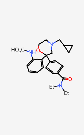 CCN(CC)C(=O)c1ccc(C2(c3ccccc3NC(=O)O)CN(CC3CC3)CCO2)cc1